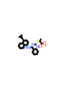 COC(=O)C(C)Sc1nc(Nc2ccc(C3CC3)c3ccccc23)c2ccccc2n1